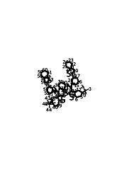 CC(C)(C)c1ccc2sc3c(c2c1)N(c1cccc(-c2cc4ccccc4s2)c1)c1cccc2c1B3c1sc3ccc(C(C)(C)C)cc3c1N2c1cccc(-c2cc3ccccc3s2)c1